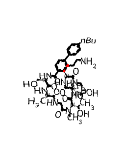 CCCCc1ccc(-c2ccc(C(=O)N[C@H](CO)C(=O)N[C@H](C)C(=O)NCC(=O)N(C)[C@H](C(=O)N[C@@H](C)C(=O)N[C@@H](CCCCN)C(=O)NCB(O)O)C(C)O)cc2)cc1